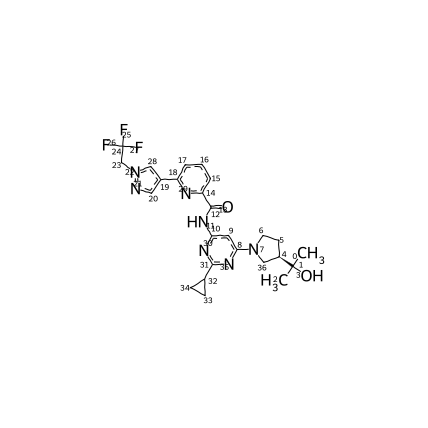 CC(C)(O)[C@@H]1CCN(c2cc(NC(=O)c3cccc(-c4cnn(CC(F)(F)F)c4)n3)nc(C3CC3)n2)C1